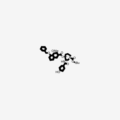 COc1cc2c(OCc3ccccc3)cccc2cc1C(=O)O[C@@H]1CCCN(C(=O)OC(C)(C)C)C[C@H]1NC(=O)c1ccc(O)cc1